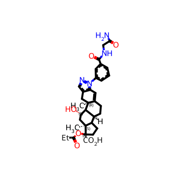 CCC(=O)O[C@]1(C(=O)O)CCC2[C@@H]3CCC4=Cc5c(cnn5-c5cccc(C(=O)NCC(N)=O)c5)C[C@]4(C)C3[C@@H](O)C[C@@]21C